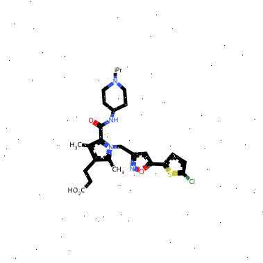 Cc1c(CCC(=O)O)c(C)n(Cc2cc(-c3ccc(Cl)s3)on2)c1C(=O)NC1CCN(C(C)C)CC1